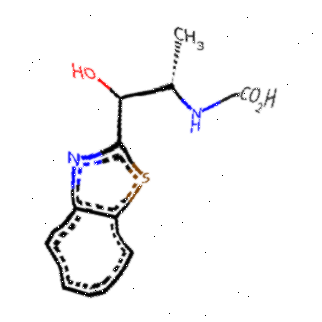 C[C@H](NC(=O)O)C(O)c1nc2ccccc2s1